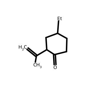 C=C(C)C1CC(CC)CCC1=O